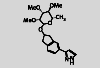 CO[C@@H]1[C@@H](OC)[C@H](C)O[C@@H](OC2Cc3ccc(-c4cc[nH]n4)cc3C2)[C@@H]1OC